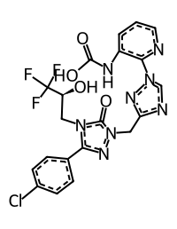 O=C(O)Nc1cccnc1-n1cnc(Cn2nc(-c3ccc(Cl)cc3)n(C[C@H](O)C(F)(F)F)c2=O)n1